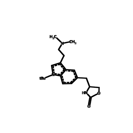 CN(C)CCc1cn(C(C)(C)C)c2ccc(CC3COC(=O)N3)cc12